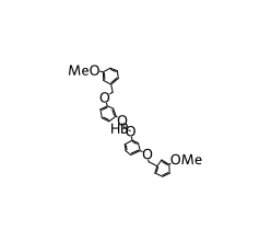 COc1cccc(COc2cccc(OBOc3cccc(OCc4cccc(OC)c4)c3)c2)c1